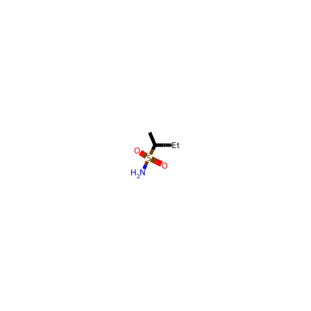 [CH2]CC(C)S(N)(=O)=O